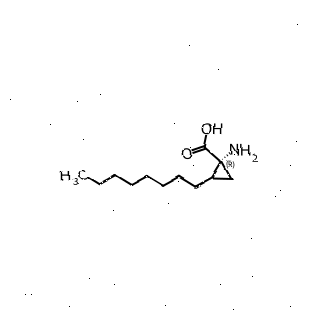 CCCCCCCCC1C[C@]1(N)C(=O)O